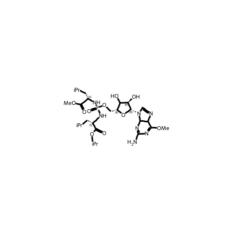 COC(=O)[C@H](CC(C)C)NP(=O)(N[C@@H](CC(C)C)C(=O)OC(C)C)OC[C@H]1O[C@@H](N2C=NC3C(OC)=NC(N)=NC32)[C@H](O)C1O